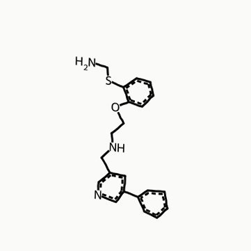 NCSc1ccccc1OCCNCc1cncc(-c2ccccc2)c1